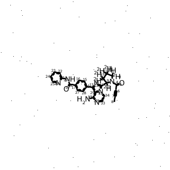 [2H]C1([2H])N(C(=O)C#CC)C([2H])(c2nc(-c3ccc(C(=O)Nc4ccccn4)cc3)c3c(N)nccn23)C([2H])([2H])C1([2H])[2H]